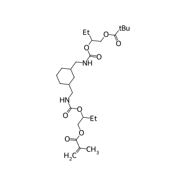 C=C(C)C(=O)OCC(CC)OC(=O)NCC1CCCC(CNC(=O)OC(CC)COC(=O)C(C)(C)C)C1